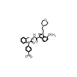 COc1cccc2c(C(=O)N[C@@H](Cc3ccccc3)C(=O)Nc3ccc([N+](=O)[O-])cc3)nn(CCN3CCOCC3)c12